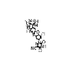 [2H]C([2H])([2H])C(c1cc(Oc2c(F)cc(-n3nc(C#N)c(=O)[nH]c3=O)cc2Cl)n[nH]c1=O)C([2H])([2H])[2H]